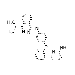 CC(C)c1nnc(Nc2ccc(Oc3ncccc3-c3ccnc(N)n3)cc2)c2ccccc12